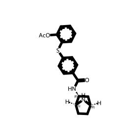 CC(=O)Oc1ccccc1Sc1ccc(C(=O)N[C@@H]2C[C@H]3CC[C@@H]2N3)cc1